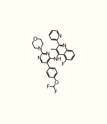 Cc1c(-c2ccccn2)nc2cccc(F)c2c1Nc1nc(N2CCOCC2)ncc1-c1ccc(OC(F)F)cc1